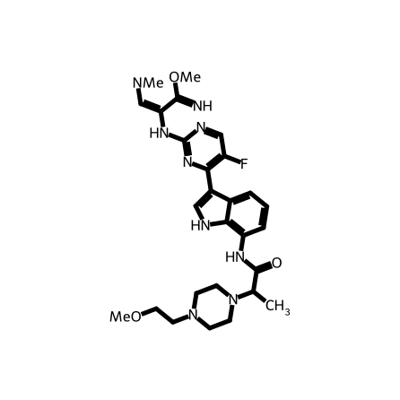 CN/C=C(/Nc1ncc(F)c(-c2c[nH]c3c(NC(=O)C(C)N4CCN(CCOC)CC4)cccc23)n1)C(=N)OC